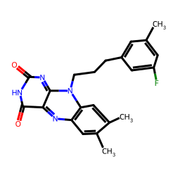 Cc1cc(F)cc(CCCn2c3nc(=O)[nH]c(=O)c-3nc3cc(C)c(C)cc32)c1